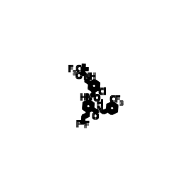 CC(C)(C(=O)NCc1ccc(Cl)c(C(=O)Nc2ccc(/C=C/C(F)F)c(C(=O)NCc3cccc(C(F)(F)F)c3)c2)c1)C(F)(F)F